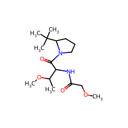 COCC(=O)NC(C(=O)N1CCCC1C(C)(C)C)C(C)OC